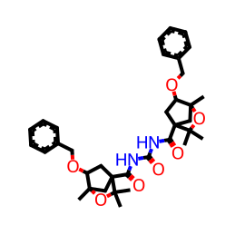 CC12CC(C(=O)NC(=O)NC(=O)C34CC(OCc5ccccc5)C(C)(C3)OC4(C)C)(CC1OCc1ccccc1)C(C)(C)O2